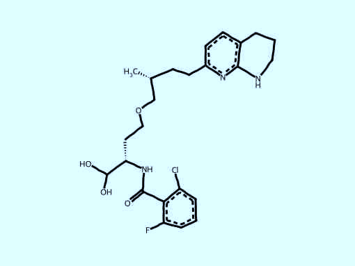 C[C@H](CCc1ccc2c(n1)NCCC2)COCC[C@H](NC(=O)c1c(F)cccc1Cl)C(O)O